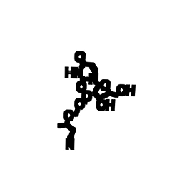 CC(CC#N)OCOCO[C@H]1C(O)C(CO)OC1n1ccc(=O)[nH]c1=O